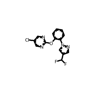 FC(F)c1cnn(-c2ccccc2Oc2ncc(Cl)cn2)c1